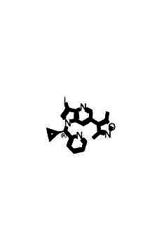 Cc1noc(C)c1-c1cnc2c(I)cn([C@@H](c3ccccn3)C3CC3)c2c1